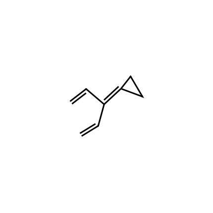 C=CC(C=C)=C1CC1